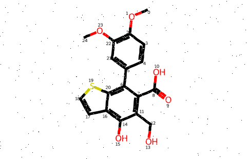 COc1ccc(-c2c(C(=O)O)c(CO)c(O)c3ccsc23)cc1OC